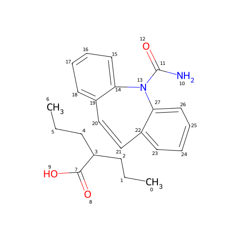 CCCC(CCC)C(=O)O.NC(=O)N1c2ccccc2C=Cc2ccccc21